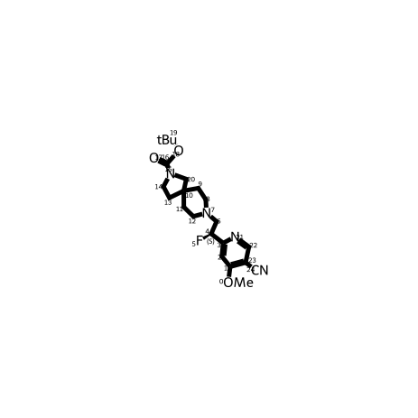 COc1cc([C@@H](F)CN2CCC3(CC2)CCN(C(=O)OC(C)(C)C)C3)ncc1C#N